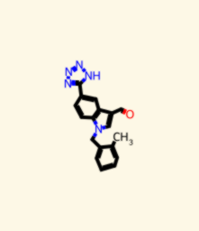 Cc1ccccc1Cn1cc(C=O)c2cc(-c3nnn[nH]3)ccc21